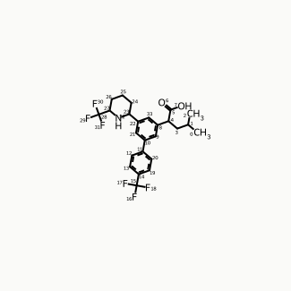 CC(C)CC(C(=O)O)c1cc(-c2ccc(C(F)(F)F)cc2)cc(C2CCCC(C(F)(F)F)N2)c1